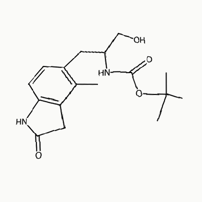 Cc1c(CC(CO)NC(=O)OC(C)(C)C)ccc2c1CC(=O)N2